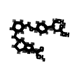 C=C[C@@H](CC(=O)O)c1ccc(OCc2cccc(CN3CCc4sc(C(C)=O)cc4C3)c2)cc1